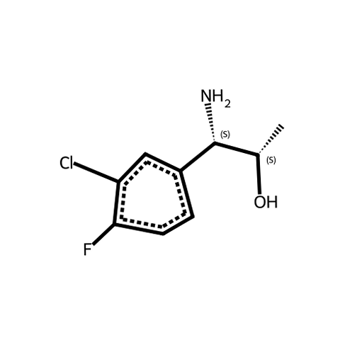 C[C@H](O)[C@@H](N)c1ccc(F)c(Cl)c1